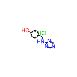 Cl.Oc1ccc(CNc2ncncn2)cc1